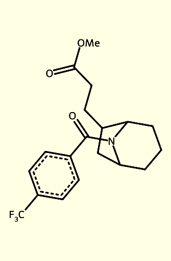 COC(=O)CCC1CC2CCCC1N2C(=O)c1ccc(C(F)(F)F)cc1